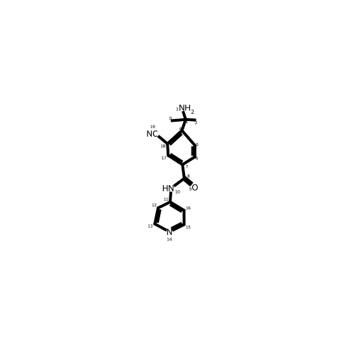 CC(C)(N)c1ccc(C(=O)Nc2ccncc2)cc1C#N